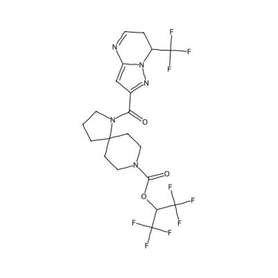 O=C(OC(C(F)(F)F)C(F)(F)F)N1CCC2(CCCN2C(=O)c2cc3n(n2)C(C(F)(F)F)CC=N3)CC1